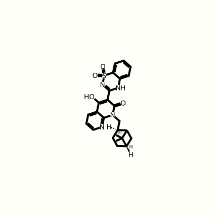 CC1(C)C2C[C@@H]1CC[C@H]2Cn1c(=O)c(C2=NS(=O)(=O)c3ccccc3N2)c(O)c2cccnc21